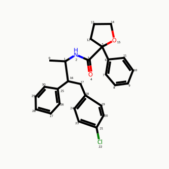 CC(NC(=O)C1(c2ccccc2)CCCO1)C(Cc1ccc(Cl)cc1)c1ccccc1